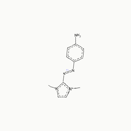 Cn1cc[n+](C)c1/N=N/c1ccc(N)cc1